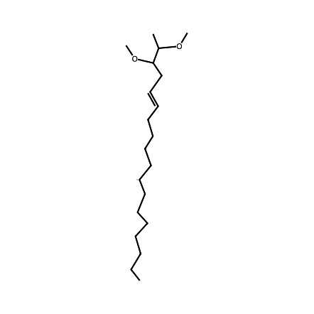 CCCCCCC[CH]CCCCC=CCC(OC)C(C)OC